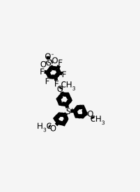 COc1ccc([S+](c2ccc(OC)cc2)c2ccc(OC)cc2)cc1.O=S(=O)([O-])c1c(F)c(F)c(F)c(F)c1F